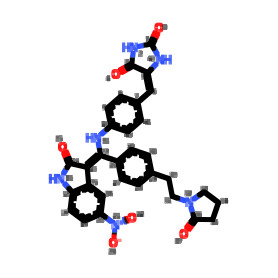 O=C1NC(=O)/C(=C\c2ccc(N/C(=C3\C(=O)Nc4ccc([N+](=O)[O-])cc43)c3ccc(CCN4CCCC4=O)cc3)cc2)N1